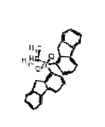 C[SiH](C)[Zr]([Cl])([Cl])([c]1cccc2c1Cc1ccccc1-2)[c]1cccc2c1Cc1ccccc1-2